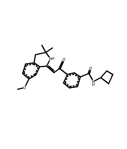 COc1ccc2c(c1)C(=CC(=O)c1cccc(C(=O)NC3CCC3)c1)NC(C)(C)C2